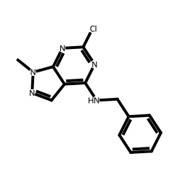 Cn1ncc2c(NCc3ccccc3)nc(Cl)nc21